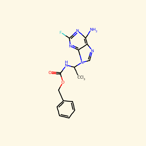 Nc1nc(F)nc2c1ncn2C(NC(=O)OCc1ccccc1)C(Cl)(Cl)Cl